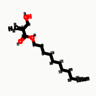 C=C(CO)C(=O)OCCCCCCCCCCCCCCCCCC